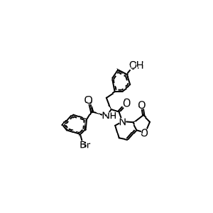 O=C(NC(Cc1ccc(O)cc1)C(=O)N1CCC=C2OCC(=O)C21)c1cccc(Br)c1